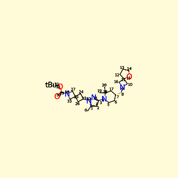 Cc1cc(N2CC[C@@H](CN3CC4(CCCO4)C3)CC2(C)C)nn1C1CC2(C1)CN(C(=O)OC(C)(C)C)C2